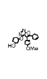 COc1ccc(-c2c(-c3ccccc3)oc3ncnc(OC4CCCC(O)C4)c23)cc1